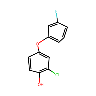 Oc1ccc(Oc2cccc(F)c2)cc1Cl